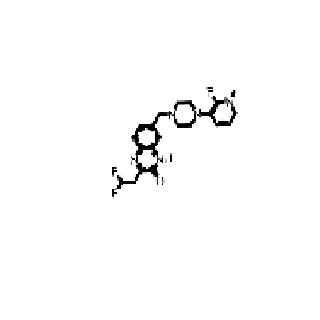 CN1CC=CC(N2CCN(Cc3ccc4nc(CC(F)F)c(=O)[nH]c4c3)CC2)=C1F